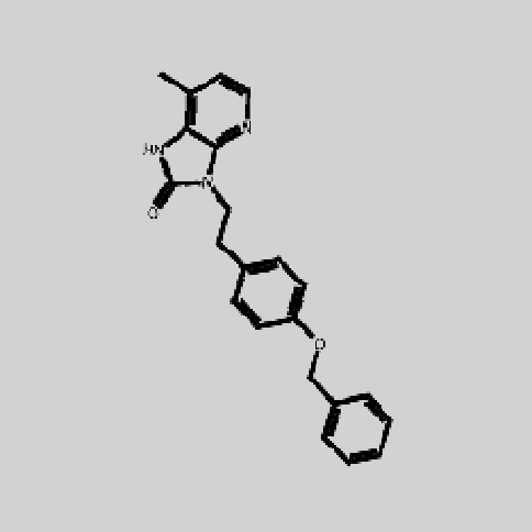 Cc1ccnc2c1[nH]c(=O)n2CCc1ccc(OCc2ccccc2)cc1